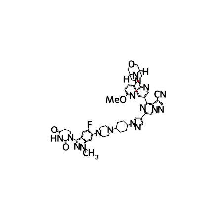 COc1ccc(CN2[C@@H]3COC[C@H]2CN(c2ccc(-c4nc(-c5cnn(C6CCC(N7CCN(c8cc9c(cc8F)c(N8CCC(=O)NC8=O)nn9C)CC7)CC6)c5)cn5ncc(C#N)c45)cn2)C3)cn1